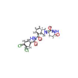 O=C1CCC(N2Cc3cccc(C(=O)NC(=O)c4ccc(Cl)c(Cl)c4)c3C2)C(=O)N1